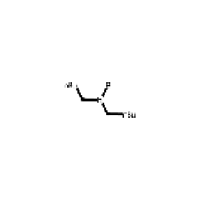 CCCCCB(Br)CCCCC